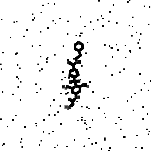 C=CC(=O)NC1CC(C)N(S(=O)(=O)c2ccc(C(=O)NCCC3CCOCC3)cc2)C(C)C1